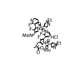 CCn1cc(S(=O)(=O)n2cc(CN(C)C(=O)OC(C)(C)C)c(F)c2-c2cccnc2F)cn1.CCn1cc(S(=O)(=O)n2cc(CNC)c(F)c2-c2cccnc2F)cn1.Cl